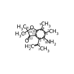 C=C(C)c1c(N)c(C)c(C)c2c1C(=O)C(C)(C)O2